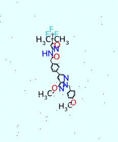 CCOc1nn(Cc2ccc(OC)cc2)c2ncc(-c3ccc(CC(=O)Nc4cc(C(C)(C)C(F)(F)F)on4)cc3)cc12